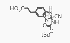 CC(C)(C)OC(=O)N[C@@]1(C#N)Nc2ccc(CCC(=O)O)cc2N1